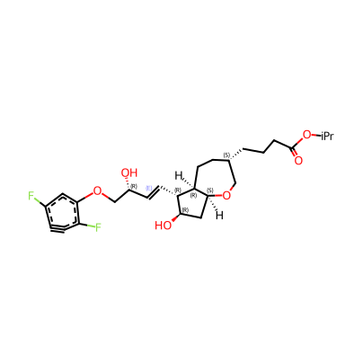 CC(C)OC(=O)CCC[C@H]1CC[C@@H]2[C@@H](/C=C/[C@@H](O)COc3cc(F)c#cc3F)[C@H](O)C[C@@H]2OC1